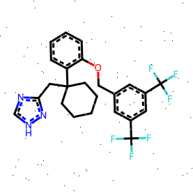 FC(F)(F)c1cc(COc2ccccc2C2(Cc3nc[nH]n3)CCCCC2)cc(C(F)(F)F)c1